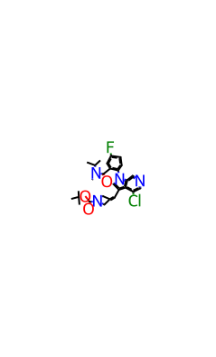 CC(C)N(C)C(=O)c1cc(F)ccc1-n1cc(C=C2CN(C(=O)OC(C)(C)C)C2)c2c(Cl)cncc21